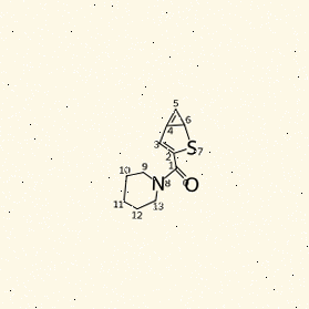 O=C(C1=CC2=CC2S1)N1CCCCC1